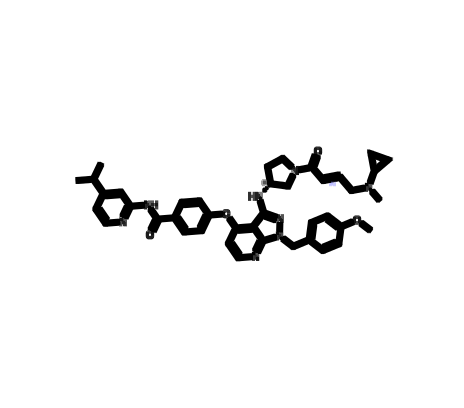 COc1ccc(Cn2nc(N[C@@H]3CCN(C(=O)/C=C/CN(C)C4CC4)C3)c3c(Oc4ccc(C(=O)Nc5cc(C(C)C)ccn5)cc4)ccnc32)cc1